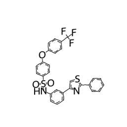 O=S(=O)(Nc1cccc(-c2csc(-c3ccccc3)n2)c1)c1ccc(Oc2ccc(C(F)(F)F)cc2)cc1